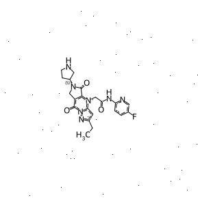 CCc1cc2n(CC(=O)Nc3ccc(F)cn3)c3c(c(=O)n2n1)CN([C@H]1CCNC1)C3=O